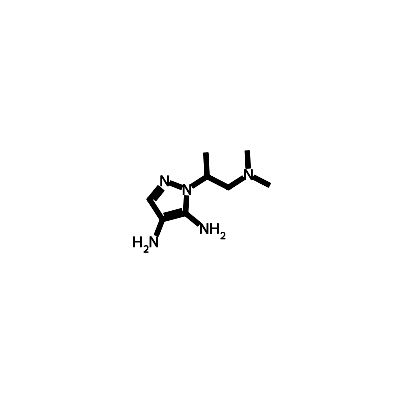 CC(CN(C)C)n1ncc(N)c1N